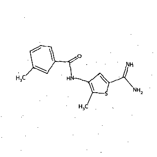 Cc1cccc(C(=O)Nc2cc(C(=N)N)sc2C)c1